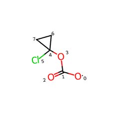 [O]C(=O)OC1(Cl)CC1